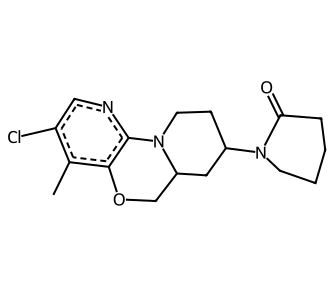 Cc1c(Cl)cnc2c1OCC1CC(N3CCCCC3=O)CCN21